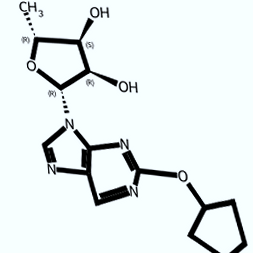 C[C@H]1O[C@@H](n2cnc3cnc(OC4CCCC4)nc32)[C@H](O)[C@@H]1O